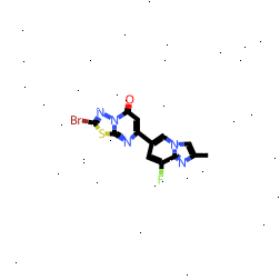 Cc1cn2cc(-c3cc(=O)n4nc(Br)sc4n3)cc(F)c2n1